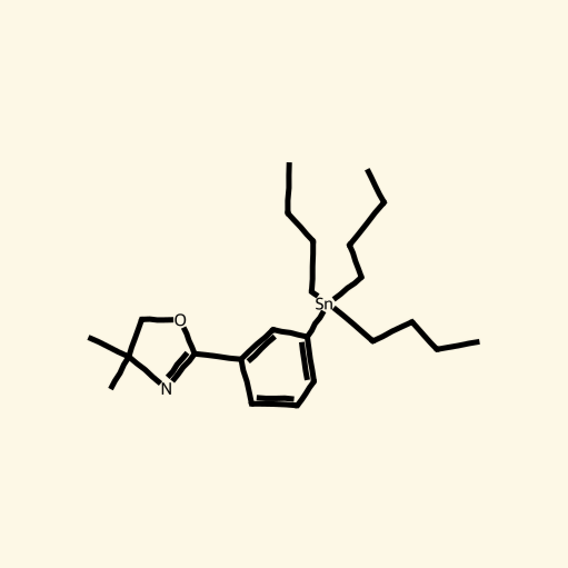 CCC[CH2][Sn]([CH2]CCC)([CH2]CCC)[c]1cccc(C2=NC(C)(C)CO2)c1